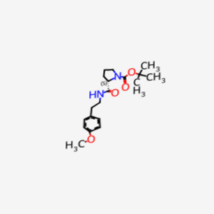 COc1ccc(CCNC(=O)[C@@H]2CCCN2C(=O)OC(C)(C)C)cc1